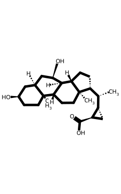 C[C@H]([C@@H]1C[C@H]1C(=O)O)[C@H]1CC[C@H]2[C@@H]3[C@H](O)C[C@@H]4C[C@H](O)CC[C@]4(C)[C@H]3CC[C@]12C